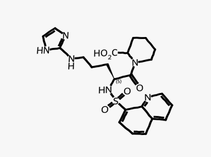 O=C(O)C1CCCCN1C(=O)[C@H](CCCNc1ncc[nH]1)NS(=O)(=O)c1cccc2cccnc12